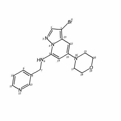 Brc1cnn2c(NCc3cccnc3)cc(N3CCOCC3)cc12